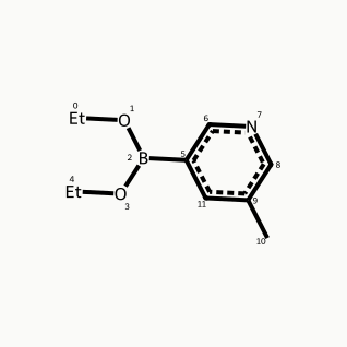 CCOB(OCC)c1cncc(C)c1